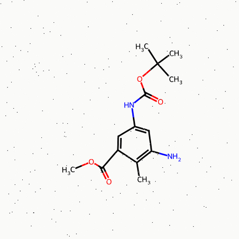 COC(=O)c1cc(NC(=O)OC(C)(C)C)cc(N)c1C